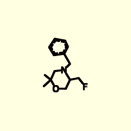 CC1(C)CN(Cc2ccccc2)C(CF)CO1